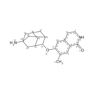 Cc1cc2c(=O)[nH]ccc2cc1OC1C2CC3CC1CC(N)(C3)C2